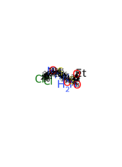 CCOc1ccc(C(N)=O)c(SCC(=O)N2CCC(c3nc(-c4cc(-c5ccc(Cl)c(Cl)c5)no4)cs3)CC2)c1